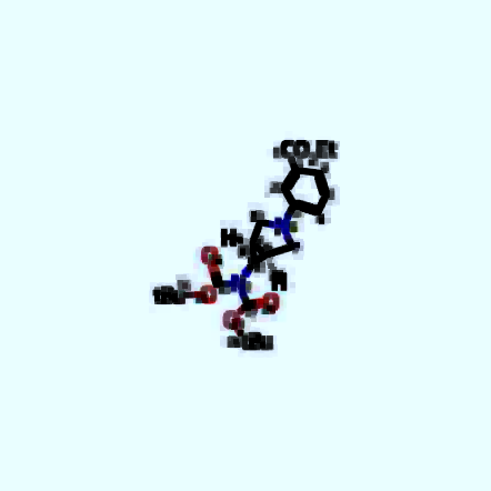 CCOC(=O)c1cccc(N2C[C@@H]3[C@H](C2)[C@@H]3N(C(=O)OC(C)(C)C)C(=O)OC(C)(C)C)c1